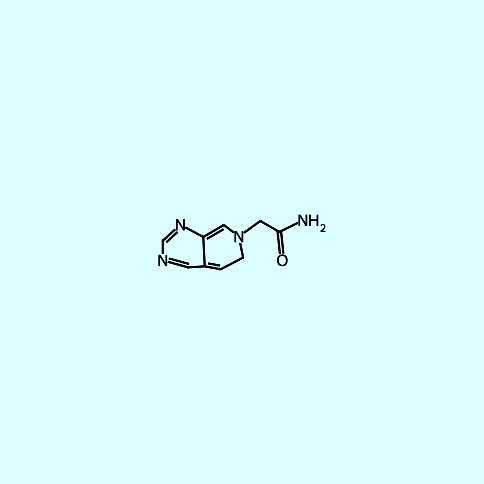 NC(=O)CN1C=c2ncncc2=CC1